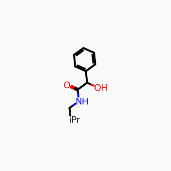 CC(C)CNC(=O)C(O)c1ccccc1